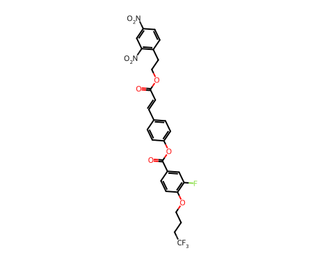 O=C(/C=C/c1ccc(OC(=O)c2ccc(OCCCC(F)(F)F)c(F)c2)cc1)OCCc1ccc([N+](=O)[O-])cc1[N+](=O)[O-]